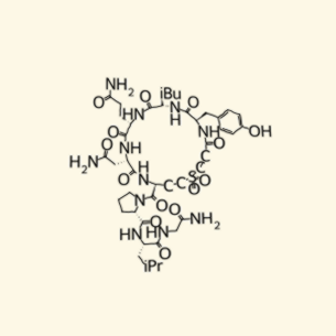 CC[C@H](C)[C@@H]1NC(=O)[C@@H](Cc2ccc(O)cc2)NC(=O)CCS(=O)(=O)CC[C@@H](C(=O)N2CCC[C@H]2C(=O)N[C@@H](CC(C)C)C(=O)NCC(N)=O)NC(=O)[C@H](CC(N)=O)NC(=O)[C@H](CCC(N)=O)NC1=O